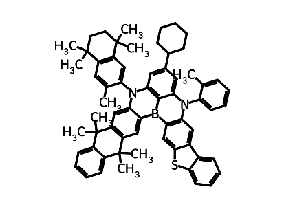 Cc1ccccc1N1c2cc3c(cc2B2c4cc5c(cc4N(c4cc6c(cc4C)C(C)(C)CCC6(C)C)c4cc(C6CCCCC6)cc1c42)C(C)(C)c1ccccc1C5(C)C)sc1ccccc13